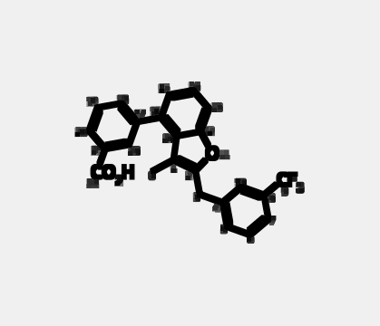 Cc1c(Cc2cccc(C(F)(F)F)c2)oc2cccc(-c3cccc(C(=O)O)c3)c12